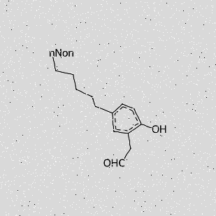 CCCCCCCCCCCCCCc1ccc(O)c(CC=O)c1